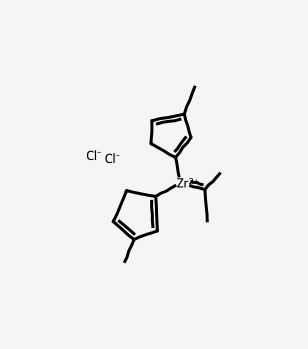 CC1=CC[C]([Zr+2]([C]2=CC(C)=CC2)=[C](C)C)=C1.[Cl-].[Cl-]